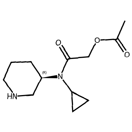 CC(=O)OCC(=O)N(C1CC1)[C@@H]1CCCNC1